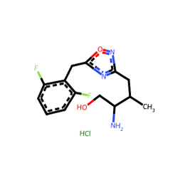 CC(Cc1noc(Cc2c(F)cccc2F)n1)C(N)CO.Cl